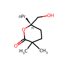 CCC[C@@]1(CO)CCC(C)(C)C(=O)O1